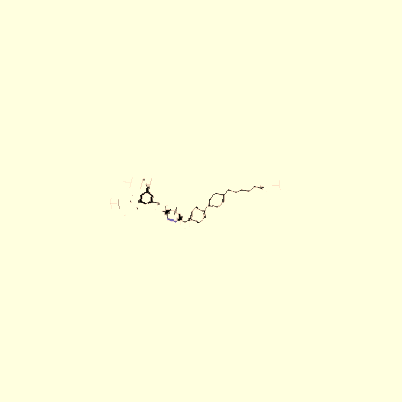 CCCCCCCC1CCC(C2CCC(OC(=O)/C=C\C(=O)OCc3cc(N)cc(N)c3)CC2)CC1